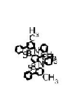 Cc1cc2c3c(c1)N(c1ccccc1)c1c(cc4c(c1C(C)C)N(c1ccccc1)c1cc(C)cc5c1B4Sc1ccccc1-5)B3Sc1ccccc1-2